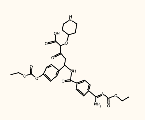 CCOC(=O)N=C(N)c1ccc(C(=O)NC(CC(=O)C(OC2CCNCC2)C(=O)O)c2ccc(OC(=O)OCC)cc2)cc1